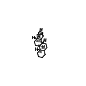 C1CC[C@H]2C(C1)CC[C@H]1[C@@H]3[CH2][GaH][CH2][C@H]3CC[C@@H]12